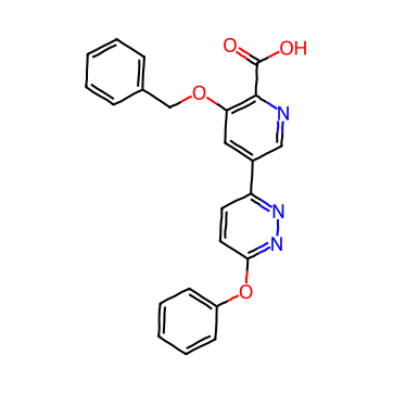 O=C(O)c1ncc(-c2ccc(Oc3ccccc3)nn2)cc1OCc1ccccc1